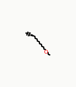 CCCOCCCCCCCCCCCC#C[Si](C)(C)C(C)(C)C